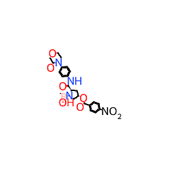 CB(O)N1C[C@@H](OC(=O)c2ccc([N+](=O)[O-])cc2)C[C@@H]1C(=O)Nc1ccc(N2CCOCC2=O)cc1